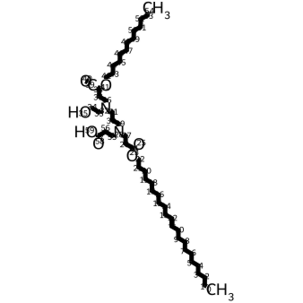 CCCCCCCCCCCCCCCCCCCCCCCOC(=O)CCN(CCCN(CCO)CCC(=C=O)OCCCCCCCCCCCCC)CCC(=O)O